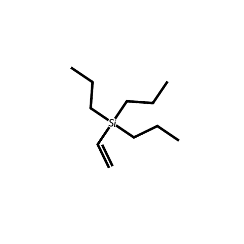 C=C[Si](CCC)(CCC)CCC